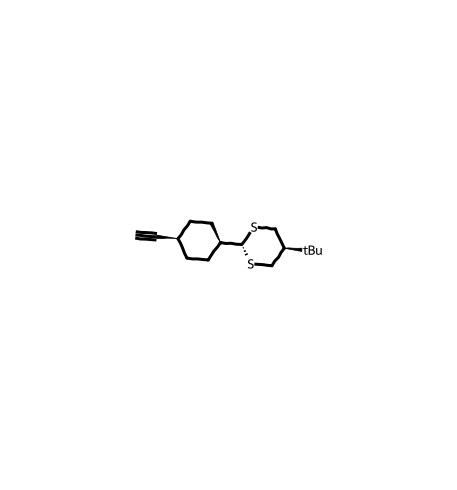 C#C[C@H]1CC[C@@H]([C@H]2SC[C@H](C(C)(C)C)CS2)CC1